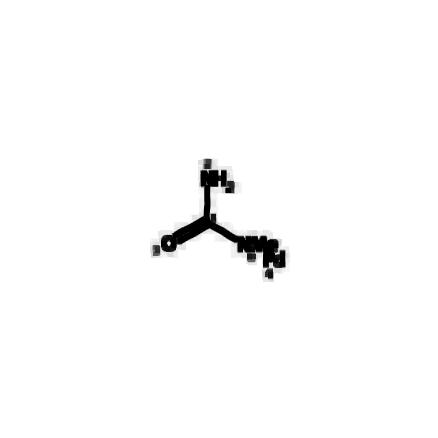 CNC(N)=O.[Pd]